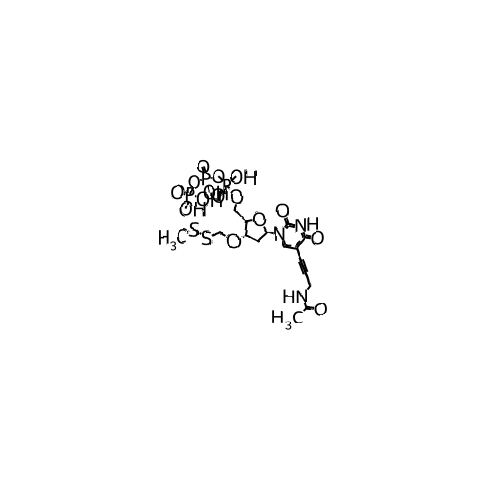 CSSCO[C@H]1C[C@H](n2cc(C#CCNC(C)=O)c(=O)[nH]c2=O)O[C@@H]1COP(=O)(O)OP(=O)(O)OP(=O)(O)O